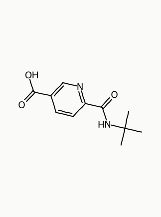 CC(C)(C)NC(=O)c1ccc(C(=O)O)cn1